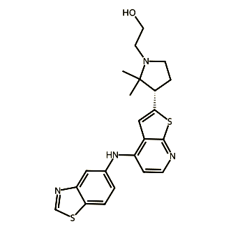 CC1(C)[C@@H](c2cc3c(Nc4ccc5scnc5c4)ccnc3s2)CCN1CCO